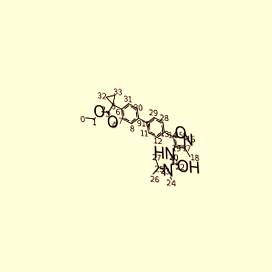 CCOC(=O)C1(c2ccc(-c3ccc(-c4onc(C)c4NC(O)N(C)C(C)C)cc3)cc2)CC1